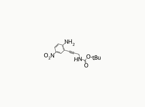 CC(C)(C)OC(=O)NCC#Cc1cc([N+](=O)[O-])ccc1N